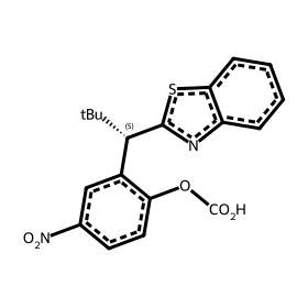 CC(C)(C)[C@H](c1nc2ccccc2s1)c1cc([N+](=O)[O-])ccc1OC(=O)O